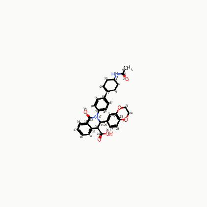 CC(=O)N[C@H]1CC[C@@H](c2ccc(N3C(=O)c4ccccc4C(C(=O)O)C3c3ccc4c(c3)OCCO4)cc2)CC1